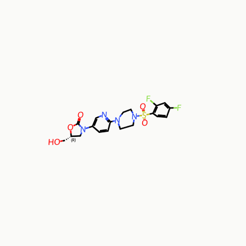 O=C1O[C@@H](CO)CN1c1ccc(N2CCN(S(=O)(=O)c3ccc(F)cc3F)CC2)nc1